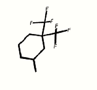 CC1CCCC(C(F)(F)F)(C(F)(F)F)C1